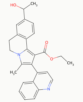 CCOC(=O)c1c(-c2ccnc3ccccc23)c(C)n2c1-c1ccc(C(C)O)cc1CC2